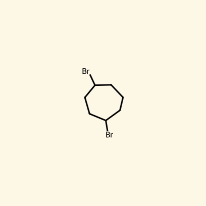 BrC1CCCC(Br)CC1